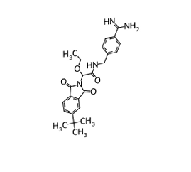 CCOC(C(=O)NCc1ccc(C(=N)N)cc1)N1C(=O)c2ccc(C(C)(C)C)cc2C1=O